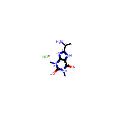 CC(N)c1nc2c([nH]1)c(=O)n(C)c(=O)n2C.Cl